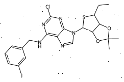 CCC1SC(n2cnc3c(NCc4cccc(I)c4)nc(Cl)nc32)C2OC(C)(C)OC12